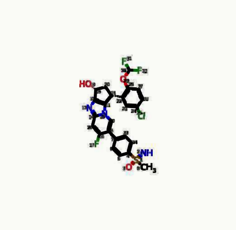 CS(=N)(=O)c1ccc(-c2cn3c4c(nc3cc2F)[C@H](O)C[C@@H]4c2cc(Cl)ccc2OC(F)F)cc1